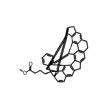 COC(=O)CCCC1(c2ccccc2)C23C=Cc4cc5c6c7c(cc8c9c7c7c%10c-9c(cc9c%10c(c%10c7c6c4C%1021)C(=C3)C9)CC8)C5